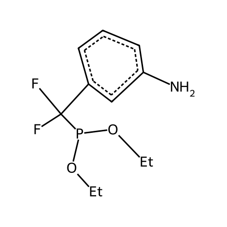 CCOP(OCC)C(F)(F)c1cccc(N)c1